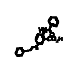 O=C(Nc1ccc(SCCc2ccccc2)cc1C(=O)O)c1ccccc1